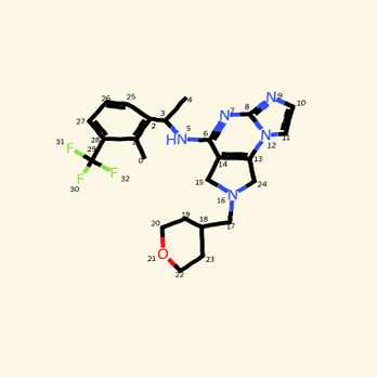 Cc1c(C(C)Nc2nc3nccn3c3c2CN(CC2CCOCC2)C3)cccc1C(F)(F)F